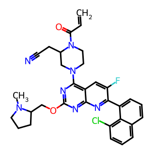 C=CC(=O)N1CCN(c2nc(OCC3CCCN3C)nc3nc(-c4cccc5cccc(Cl)c45)c(F)cc23)CC1CC#N